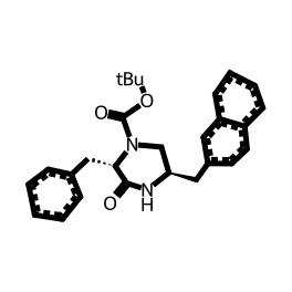 CC(C)(C)OC(=O)N1C[C@@H](Cc2ccc3ccccc3c2)NC(=O)[C@@H]1Cc1ccccc1